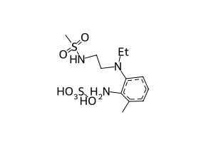 CCN(CCNS(C)(=O)=O)c1cccc(C)c1N.O=S(=O)(O)O